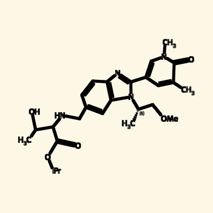 COC[C@H](C)n1c(-c2cc(C)c(=O)n(C)c2)nc2ccc(CNC(C(=O)OC(C)C)C(C)O)cc21